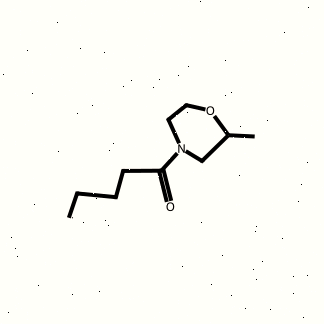 [CH2]CCCC(=O)N1CCOC(C)C1